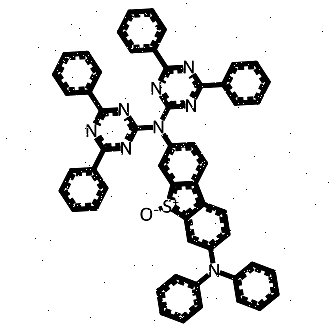 [O-][s+]1c2cc(N(c3ccccc3)c3ccccc3)ccc2c2ccc(N(c3nc(-c4ccccc4)nc(-c4ccccc4)n3)c3nc(-c4ccccc4)nc(-c4ccccc4)n3)cc21